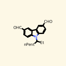 CCCCCC(CC)n1c2ccc(C=O)cc2c2cc(C=O)ccc21